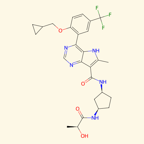 Cc1[nH]c2c(-c3cc(C(F)(F)F)ccc3OCC3CC3)ncnc2c1C(=O)N[C@H]1CC[C@@H](NC(=O)[C@H](C)O)C1